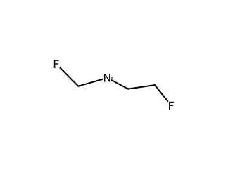 FCC[N]CF